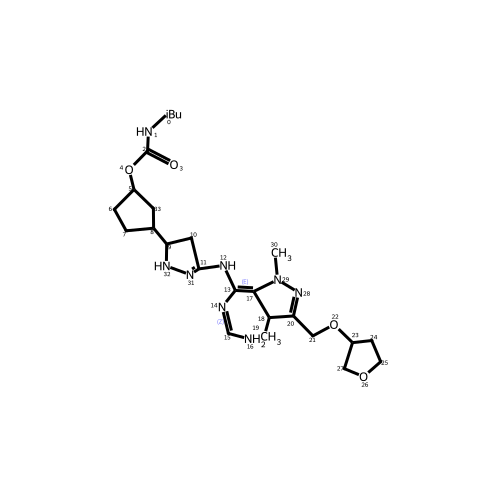 CCC(C)NC(=O)OC1CCC(C2CC(NC(/N=C\N)=C3/C(C)C(COC4CCOC4)=NN3C)=NN2)C1